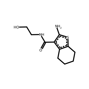 Nc1sc2c(c1C(=O)NCCO)CCCC2